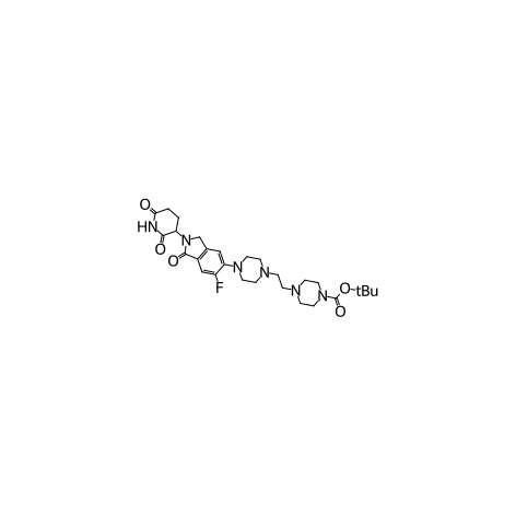 CC(C)(C)OC(=O)N1CCN(CCN2CCN(c3cc4c(cc3F)C(=O)N(C3CCC(=O)NC3=O)C4)CC2)CC1